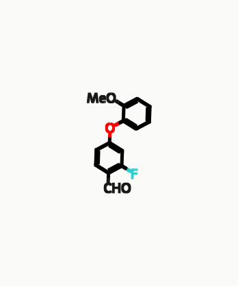 COc1ccccc1Oc1ccc(C=O)c(F)c1